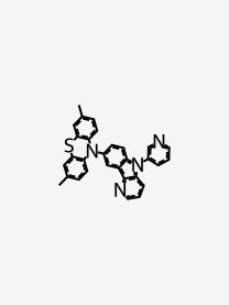 Cc1ccc2c(c1)Sc1cc(C)ccc1N2c1ccc2c(c1)c1ncccc1n2-c1cccnc1